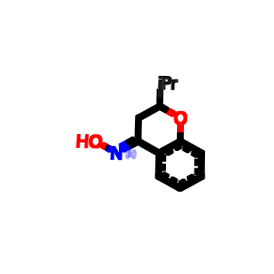 CC(C)C1C/C(=N\O)c2ccccc2O1